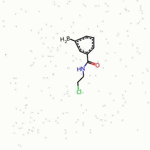 Bc1cccc(C(=O)NCCCl)c1